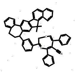 CC1(C)c2cc3c(cc2-c2ccc4ccccc4c21)-c1ccccc1CCC3c1cccc(/C2=N/C(c3ccccc3)=C(C#N)\C(c3ccccc3)=C/CC2)c1